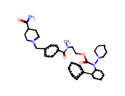 CN(CCOC(=O)N(c1ccccc1-c1ccccc1)N1CC[CH]CC1)C(=O)c1ccc(CN2CCC(C(N)=O)CC2)cc1